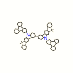 CC1(C)c2ccccc2-c2cc3c4cc(-c5ccc6c(c5)c5cc7c(cc5n6-c5ccc6c8ccccc8c8ccccc8c6c5)C(C)(C)c5ccccc5-7)ccc4n(-c4ccc5c6ccccc6c6ccccc6c5c4)c3cc21